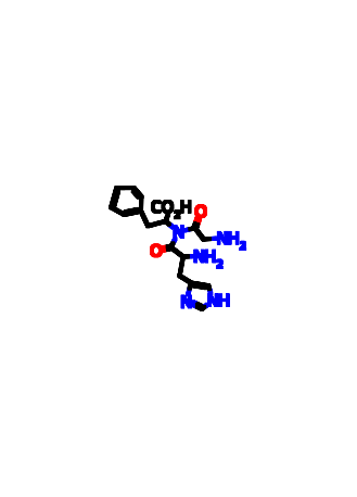 NCC(=O)N(C(=O)C(N)Cc1c[nH]cn1)C(Cc1ccccc1)C(=O)O